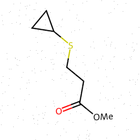 COC(=O)CCSC1CC1